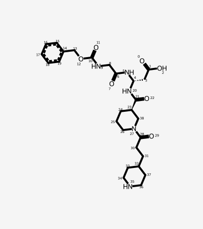 O=C(O)C[C@@H](NC(=O)CNC(=O)OCc1ccccc1)NC(=O)[C@@H]1CCCN(C(=O)CCC2CCNCC2)C1